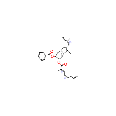 C=CC/C=C\C=C(/C)C(=O)OC1C2CC(C3CC(/C=C(/C)C=C)=C(C)C32)C1OC(=O)c1ccccc1